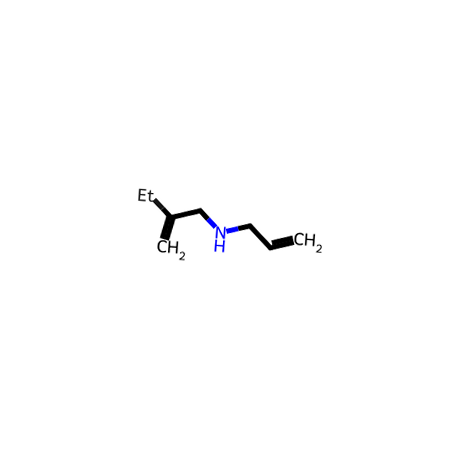 C=CCNCC(=C)CC